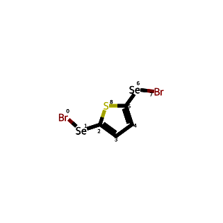 Br[Se]c1ccc([Se]Br)s1